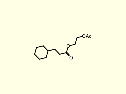 CC(=O)OCCOC(=O)CCC1CCCCC1